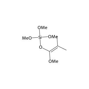 COC(O[Si](OC)(OC)OC)=C(C)C